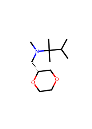 CC(C)C(C)(C)N(C)C[C@@H]1COCCO1